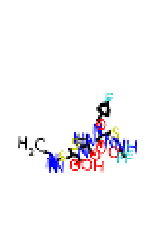 C=CCn1nnnc1SCC1=C(C(=O)O)N2C(=O)C(NC(=O)C(=NOCc3ccc(F)cc3)c3csc(NC(=O)C(F)(F)F)n3)[C@@H]2SC1